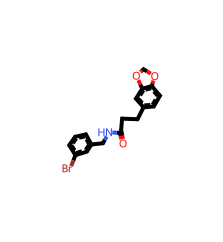 O=C(CCc1ccc2c(c1)OCO2)NCc1cccc(Br)c1